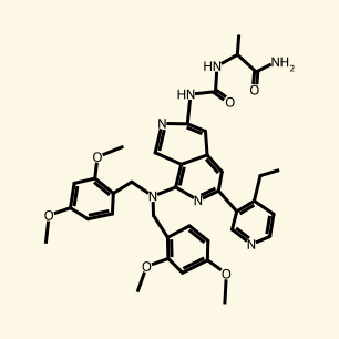 CCc1ccncc1-c1cc2cc(NC(=O)NC(C)C(N)=O)ncc2c(N(Cc2ccc(OC)cc2OC)Cc2ccc(OC)cc2OC)n1